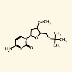 COC1C[C@H](n2ccc(N)nc2=O)O[C@@H]1COC(C)(C)C